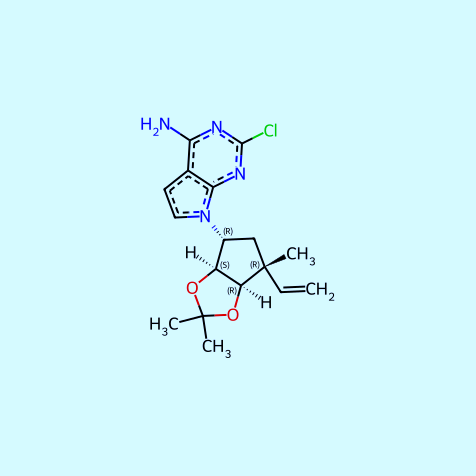 C=C[C@@]1(C)C[C@@H](n2ccc3c(N)nc(Cl)nc32)[C@@H]2OC(C)(C)O[C@@H]21